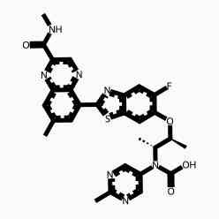 CNC(=O)c1cnc2c(-c3nc4cc(F)c(O[C@@H](C)[C@@H](C)N(C(=O)O)c5cnc(C)nc5)cc4s3)cc(C)cc2n1